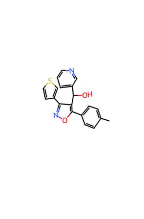 Cc1ccc(-c2onc(-c3ccsc3)c2C(O)c2cccnc2)cc1